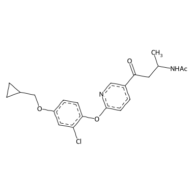 CC(=O)NC(C)CC(=O)c1ccc(Oc2ccc(OCC3CC3)cc2Cl)nc1